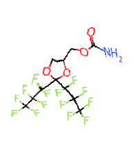 NC(=O)OCC1COC(C(F)(F)C(F)(F)C(F)(F)F)(C(F)(F)C(F)(F)C(F)(F)F)O1